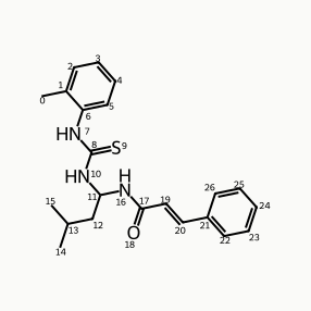 Cc1ccccc1NC(=S)NC(CC(C)C)NC(=O)C=Cc1ccccc1